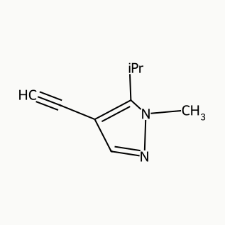 C#Cc1cnn(C)c1C(C)C